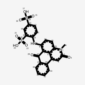 Cn1c(=O)cc2c3c(c(Nc4ccc(S(=O)(=O)O)cc4S(=O)(=O)O)ccc31)C(=O)c1ccccc1-2